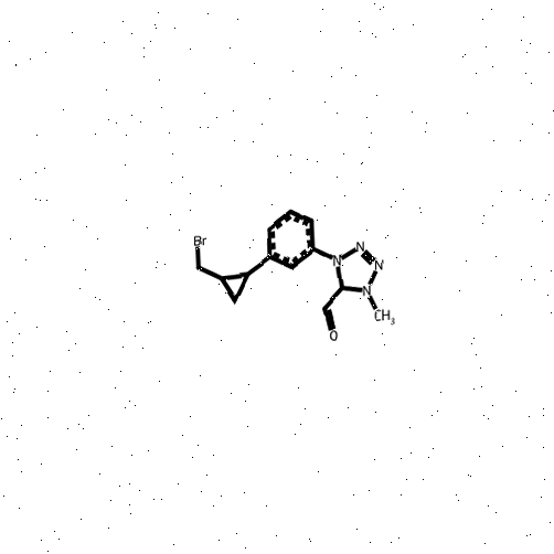 CN1N=NN(c2cccc(C3CC3CBr)c2)C1C=O